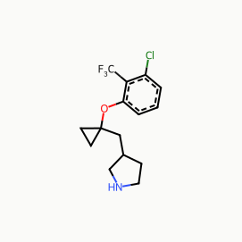 FC(F)(F)c1c(Cl)cccc1OC1(CC2CCNC2)CC1